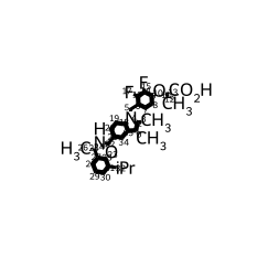 Cc1c(C)n(Cc2ccc(O[C@@H](C)C(=O)O)c(F)c2F)c2ccc(C(=O)N[C@@H](C)c3cccc(C(C)C)c3)cc12